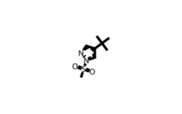 CC(C)(C)c1cnn(S(C)(=O)=O)c1